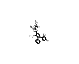 CCC(C)(C)c1nnc(-c2nn(-c3ccc(Cl)cc3Cl)c(-c3ccccc3)c2C)s1